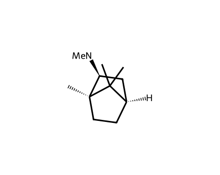 CN[C@H]1C[C@H]2CC[C@]1(C)C2(C)C